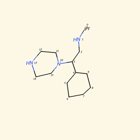 CC(C)NCC(C1CCCCC1)N1CCNCC1